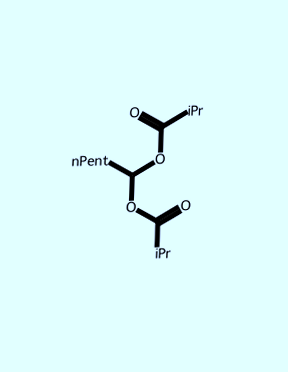 CCCCCC(OC(=O)C(C)C)OC(=O)C(C)C